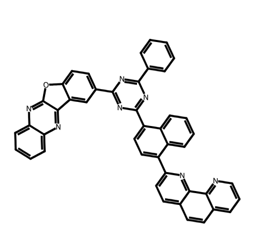 c1ccc(-c2nc(-c3ccc4oc5nc6ccccc6nc5c4c3)nc(-c3ccc(-c4ccc5ccc6cccnc6c5n4)c4ccccc34)n2)cc1